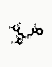 C=N/C=C(\C=C(/C)F)c1cc(NCCc2c[nH]c3ccccc23)n2ncc(CC)c2n1